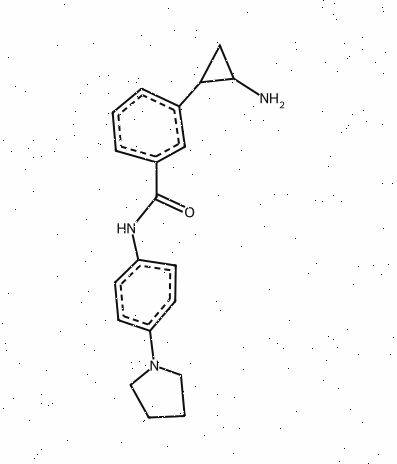 NC1CC1c1cccc(C(=O)Nc2ccc(N3CCCC3)cc2)c1